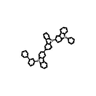 c1ccc(-c2cccc(-n3c4ccccc4c4cc(-c5ccc6c(c5)c5ccccc5n6-c5ccc6c(c5)c5ccccc5n6-c5ccccc5)ccc43)c2)cc1